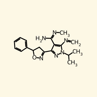 C=Nc1c(/C(N)=N\C)c(C2=NOC(c3ccccc3)C2)nn1C(C)C